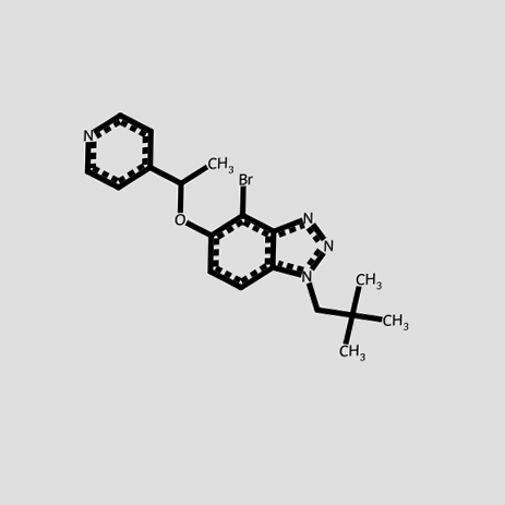 CC(Oc1ccc2c(nnn2CC(C)(C)C)c1Br)c1ccncc1